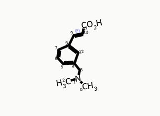 CN(C)Cc1cccc(/C=C/C(=O)O)c1